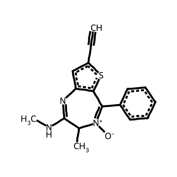 C#Cc1cc2c(s1)C(c1ccccc1)=[N+]([O-])C(C)C(NC)=N2